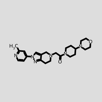 Cc1cc(-n2cc3c(n2)CCN(CC(=O)N2CCC(N4CCOCC4)CC2)C3)ccn1